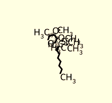 CCCCCCCC=C[C@@H]1OC[C@H](C)[C@H](OC)[C@H]1O[Si](C)(C)C(C)(C)C